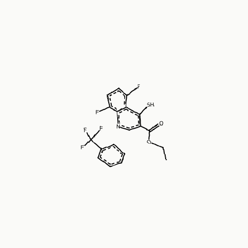 CCOC(=O)c1cnc2c(F)ccc(F)c2c1S.FC(F)(F)c1ccccc1